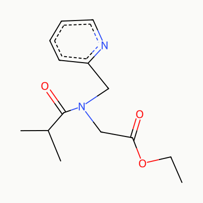 CCOC(=O)CN(Cc1ccccn1)C(=O)C(C)C